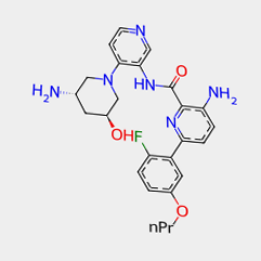 CCCOc1ccc(F)c(-c2ccc(N)c(C(=O)Nc3cnccc3N3C[C@@H](N)C[C@H](O)C3)n2)c1